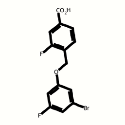 O=C(O)c1ccc(COc2cc(F)cc(Br)c2)c(F)c1